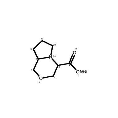 COC(=O)C1COCC2CCCN21